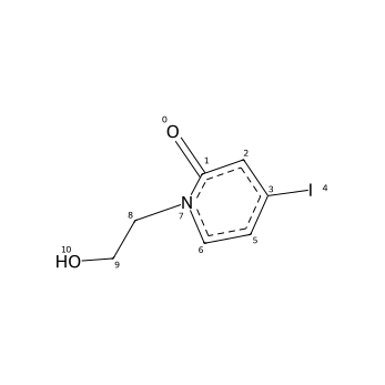 O=c1cc(I)ccn1CCO